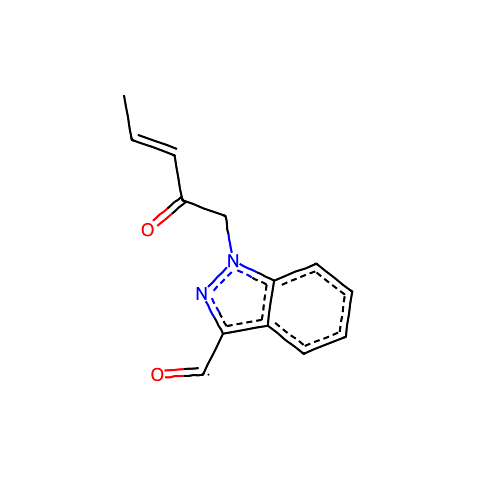 C/C=C/C(=O)Cn1nc([C]=O)c2ccccc21